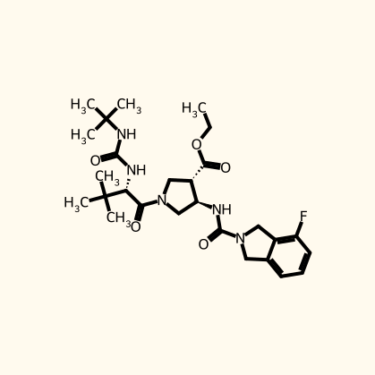 CCOC(=O)[C@H]1CN(C(=O)[C@@H](NC(=O)NC(C)(C)C)C(C)(C)C)C[C@@H]1NC(=O)N1Cc2cccc(F)c2C1